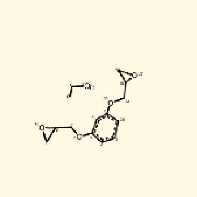 CCO.c1cc(OCC2CO2)cc(OCC2CO2)c1